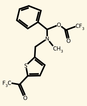 CN(Cc1ccc(C(=O)C(F)(F)F)s1)C(OC(=O)C(F)(F)F)c1ccccc1